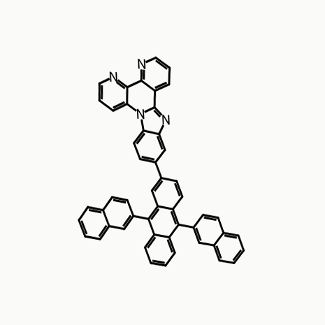 c1ccc2cc(-c3c4ccccc4c(-c4ccc5ccccc5c4)c4cc(-c5ccc6c(c5)nc5c7cccnc7c7ncccc7n65)ccc34)ccc2c1